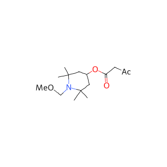 COCN1C(C)(C)CC(OC(=O)CC(C)=O)CC1(C)C